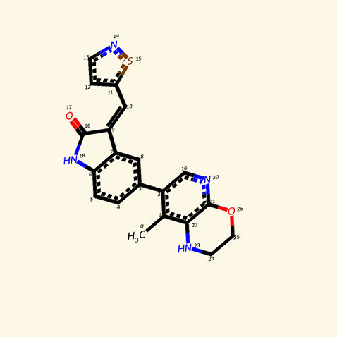 Cc1c(-c2ccc3c(c2)C(=Cc2ccns2)C(=O)N3)cnc2c1NCCO2